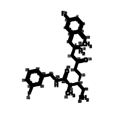 C=C(/C=c1/cc(F)cc/c1=C/C)CC(=O)CC[C@H](CN)N(C)C(=O)NCc1cccc(F)c1